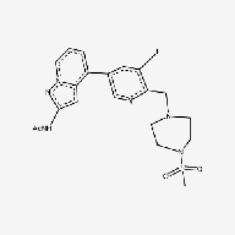 CC(=O)Nc1cc2c(-c3cnc(CN4CCN(S(C)(=O)=O)CC4)c(F)c3)cccn2n1